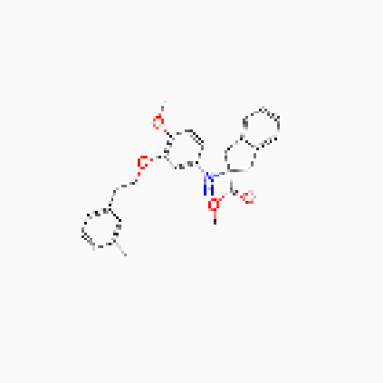 COC(=O)C1(Nc2ccc(OC)c(OCCc3cccc(C)c3)c2)Cc2ccccc2C1